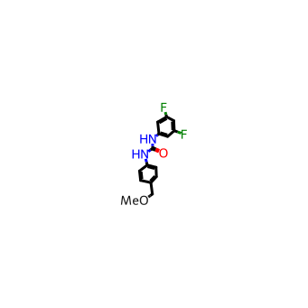 COCc1ccc(NC(=O)Nc2cc(F)cc(F)c2)cc1